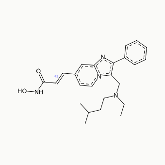 CCN(CCC(C)C)Cc1c(-c2ccccc2)nc2cc(/C=C/C(=O)NO)ccn12